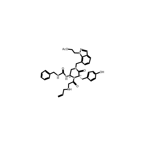 C=CCNCC(=O)N1[C@@H](NC(=O)NCc2ccccc2)CN(Cc2cccc3cnn(CCOC(C)=O)c23)C(=O)[C@@H]1Cc1ccc(O)cc1